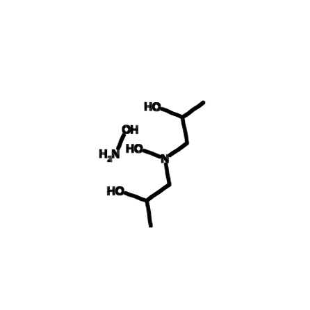 CC(O)CN(O)CC(C)O.NO